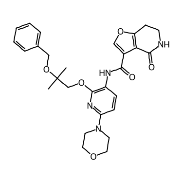 CC(C)(COc1nc(N2CCOCC2)ccc1NC(=O)c1coc2c1C(=O)NCC2)OCc1ccccc1